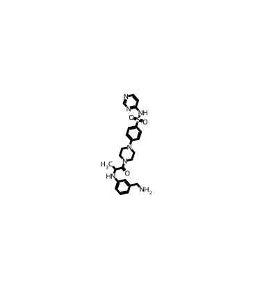 CC(Nc1cccc(CN)c1)C(=O)N1CCN(c2ccc(S(=O)(=O)Nc3ccncn3)cc2)CC1